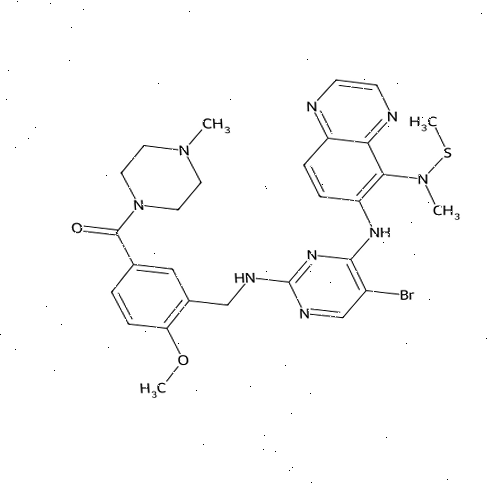 COc1ccc(C(=O)N2CCN(C)CC2)cc1CNc1ncc(Br)c(Nc2ccc3nccnc3c2N(C)SC)n1